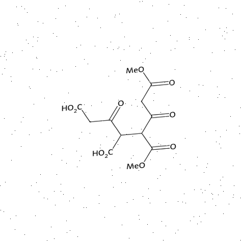 COC(=O)CC(=O)C(C(=O)OC)C(C(=O)O)C(=O)CC(=O)O